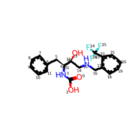 O=C(O)N[C@@H](Cc1ccccc1)[C@@H](O)CNCc1ccccc1C(F)(F)F